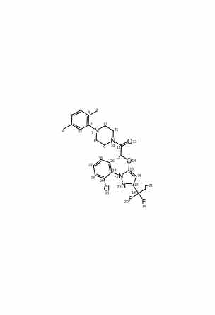 Cc1ccc(C)c(N2CCN(C(=O)COc3cc(C(F)(F)F)nn3-c3ccccc3Cl)CC2)c1